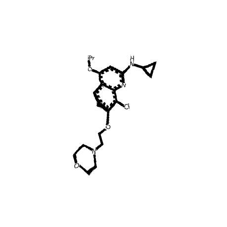 CC(C)Oc1cc(NC2CC2)nc2c(Cl)c(OCCN3CCOCC3)ccc12